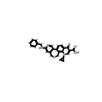 O=C(O)c1cn(C2CC2)c2c3c(ccc2c1=O)-c1cnc(NCc2ccccc2)cc1COC3